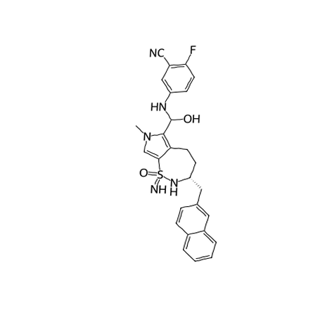 Cn1cc2c(c1C(O)Nc1ccc(F)c(C#N)c1)CC[C@H](Cc1ccc3ccccc3c1)NS2(=N)=O